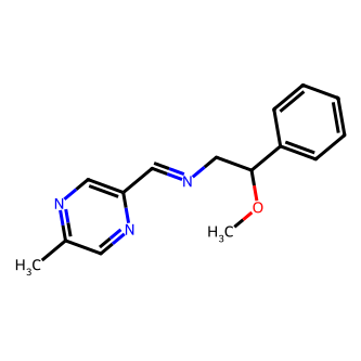 COC(CN=Cc1cnc(C)cn1)c1ccccc1